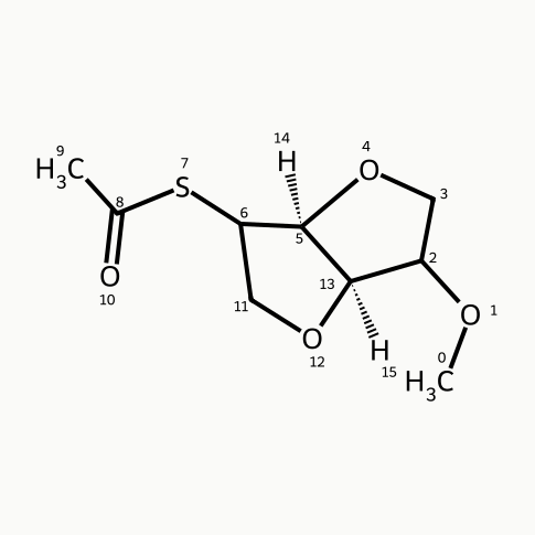 COC1CO[C@@H]2C(SC(C)=O)CO[C@H]12